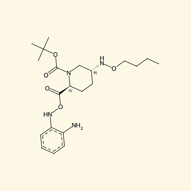 CCCCON[C@@H]1CC[C@@H](C(=O)ONc2ccccc2N)N(C(=O)OC(C)(C)C)C1